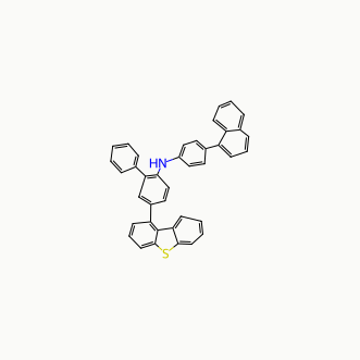 c1ccc(-c2cc(-c3cccc4sc5ccccc5c34)ccc2Nc2ccc(-c3cccc4ccccc34)cc2)cc1